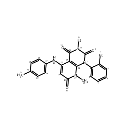 CCc1ccccc1-n1c(=O)n(CC)c(=O)c2c(Nc3ccc(C)cc3)cc(=O)n(C)c21